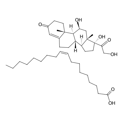 CCCCCCCC/C=C\CCCCCCCC(=O)O.C[C@]12CCC(=O)C=C1CC[C@@H]1[C@@H]2[C@@H](O)C[C@@]2(C)[C@H]1CC[C@]2(O)C(=O)CO